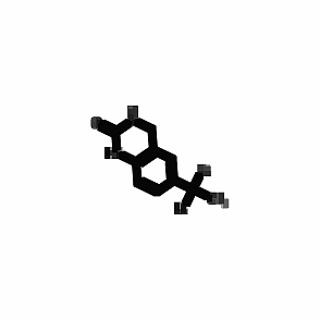 CCC(C)(CC)c1ccc2c(c1)CNC(=O)N2